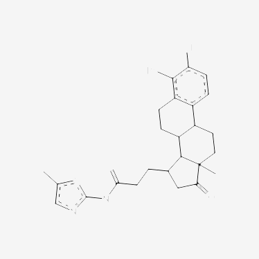 Cc1cnc(NC(=O)CCC2CC(=O)C3(C)CCC4c5ccc(O)c(Br)c5CCC4C23)s1